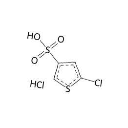 Cl.O=S(=O)(O)c1csc(Cl)c1